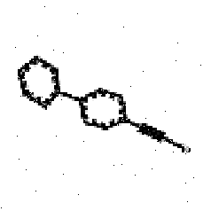 BrC#Cc1ccc(-c2ccccc2)cc1